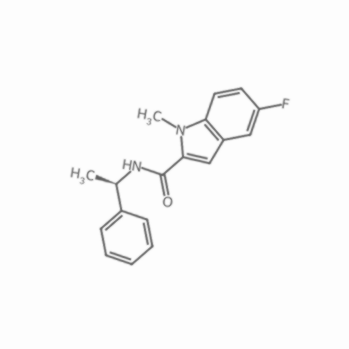 C[C@@H](NC(=O)c1cc2cc(F)ccc2n1C)c1ccccc1